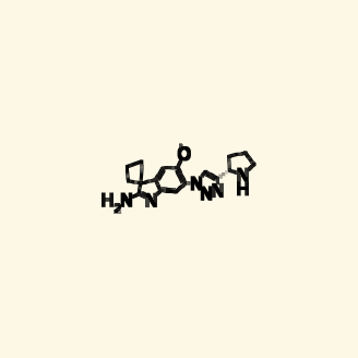 COc1cc2c(cc1-n1cc([C@@H]3CCCN3)nn1)N=C(N)C21CCC1